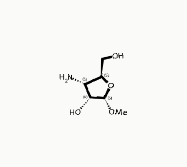 CO[C@H]1O[C@H](CO)[C@@H](N)[C@H]1O